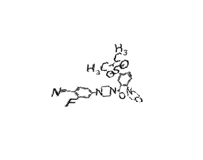 CC(C)S(=O)(=O)c1ccc(N2CCOCC2)c(C(=O)N2CCN(c3ccc(C#N)c(F)c3)CC2)c1